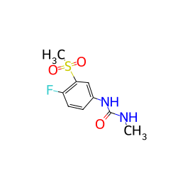 CNC(=O)Nc1ccc(F)c(S(C)(=O)=O)c1